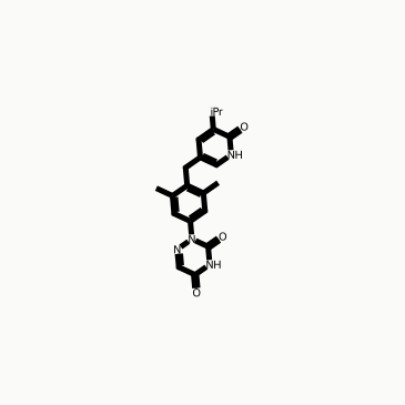 Cc1cc(-n2ncc(=O)[nH]c2=O)cc(C)c1Cc1c[nH]c(=O)c(C(C)C)c1